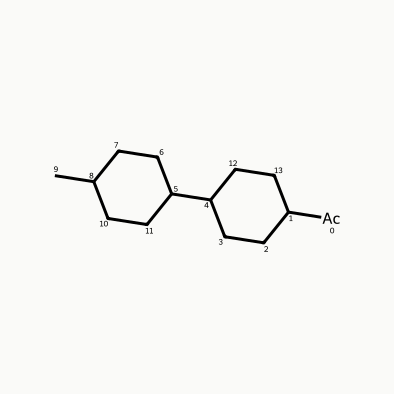 CC(=O)C1CCC(C2CCC(C)CC2)CC1